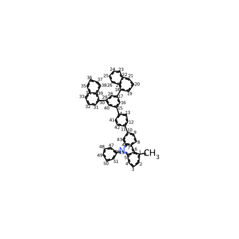 Cc1cccc2c1c1ccc(-c3ccc(-c4cc(-c5cccc6ccccc56)cc(-c5cccc6ccccc56)c4)cc3)cc1n2-c1ccccc1